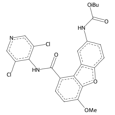 COc1ccc(C(=O)Nc2c(Cl)cncc2Cl)c2c1oc1ccc(NC(=O)OCC(C)C)cc12